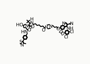 COc1cc(Nc2c(C#N)cnc3cc(OCCCN4CCN(C(=O)CCCCCC(=O)NC(C(=O)N5CC(O)CC5C(=O)NCc5ccc(-c6scnc6C)cc5)C(C)(C)C)CC4)c(OC)cc23)c(Cl)cc1Cl